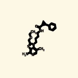 CCOCc1nc2c(N)ncc(C)c2n1CCCCNC(=O)C1CC1c1ccccc1